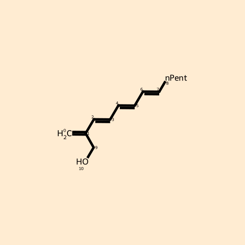 C=C(C=CC=CC=CCCCCC)CO